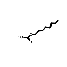 CCC=CCCCCOC(N)=O